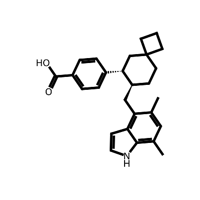 Cc1cc(C)c2[nH]ccc2c1C[C@@H]1CCC2(CCC2)C[C@H]1c1ccc(C(=O)O)cc1